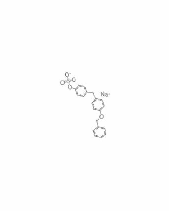 O=S(=O)([O-])Oc1ccc(Cc2ccc(OCc3ccccc3)cc2)cc1.[Na+]